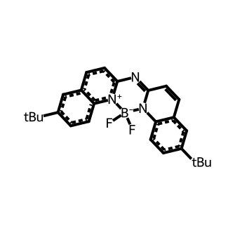 CC(C)(C)c1ccc2c(c1)C=CC1=Nc3ccc4cc(C(C)(C)C)ccc4[n+]3[B-](F)(F)N12